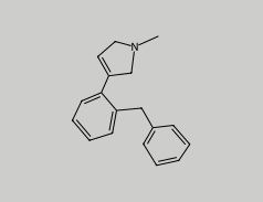 CN1CC=C(c2ccccc2Cc2ccccc2)C1